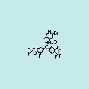 Cc1cnc(Br)cc1NC(=O)c1c(Oc2ccc(OC(F)(F)F)c(F)c2)ccc(C(F)(F)F)c1F